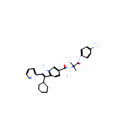 Cn1c(-c2ccccn2)c(C2CCCCC2)c2ccc(C(=O)NC(C)(C)C(=O)Nc3ccc(N)cc3)cc21